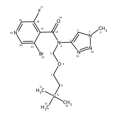 Cn1cc(N(COCC[Si](C)(C)C)C(=O)c2c(F)cncc2Br)nn1